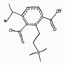 CC(Br)c1ccc(C(=O)O)c(CC[Si](C)(C)C)c1[N+](=O)[O-]